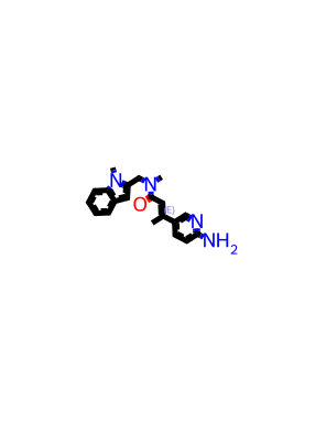 C/C(=C\C(=O)N(C)Cc1cc2ccccc2n1C)c1ccc(N)nc1